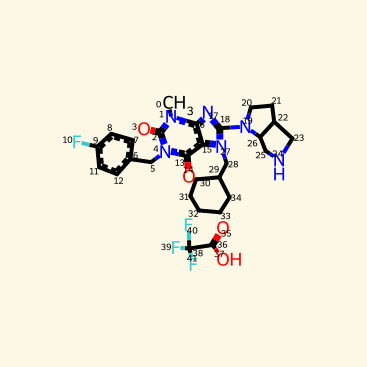 Cn1c(=O)n(Cc2ccc(F)cc2)c(=O)c2c1nc(N1CCC3CNCC31)n2CC1CCCCC1.O=C(O)C(F)(F)F